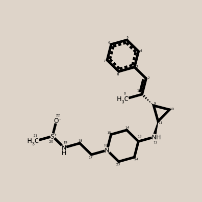 C/C(=C\c1ccccc1)[C@@H]1C[C@H]1NC1CCN(CCN[S+](C)[O-])CC1